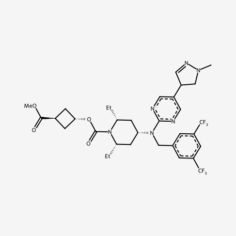 CC[C@@H]1C[C@H](N(Cc2cc(C(F)(F)F)cc(C(F)(F)F)c2)c2ncc(C3C=NN(C)C3)cn2)C[C@H](CC)N1C(=O)O[C@H]1C[C@H](C(=O)OC)C1